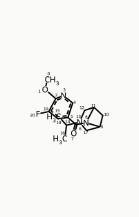 COc1ncc(C(=O)N2C3CC2CN(C(C)C)C3)cc1F